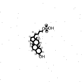 C[C@H](CCCOS(=O)(=O)O)C1CCC2[C@@H]3CCC4C[C@@H](O)CCC4(C)C3CCC21C